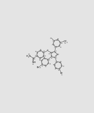 Cc1cc(-c2nc(-c3ccc(Br)cc3)c(-c3ccc(Br)cc3)n2Cc2ccc(C(=N)N)cc2)cc(C(F)(F)F)c1